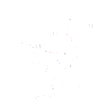 CCOC(=O)C(=CN(C)C)C(=O)C1=Cc2cc(OC)ccc2-c2c(C3CCCCC3)c3ccc(C(=O)OC(C)(C)C)cc3n2C1